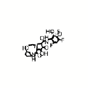 O=C(NCc1c(F)cc(F)c(OS(=O)(=O)O)c1F)c1cn2c(c(O)c1=O)C(=O)N[C@@H]1CC[C@H](C1)OCC2